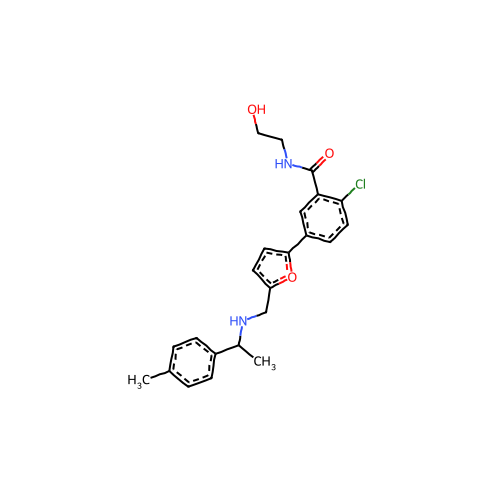 Cc1ccc(C(C)NCc2ccc(-c3ccc(Cl)c(C(=O)NCCO)c3)o2)cc1